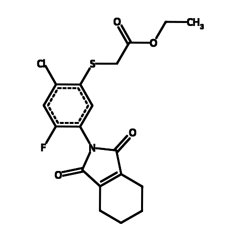 CCOC(=O)CSc1cc(N2C(=O)C3=C(CCCC3)C2=O)c(F)cc1Cl